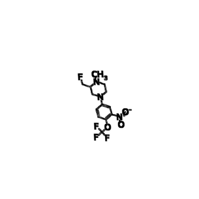 CN1CCN(c2ccc(OC(F)(F)F)c([N+](=O)[O-])c2)CC1CF